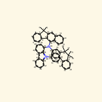 CC1(C)c2ccccc2-c2c1cc1ccccc1c2N(c1ccc2c(c1)C(C)(C)C(C)(C)c1ccccc1-2)c1cccc2c3ccccc3n(-c3ccccc3)c12